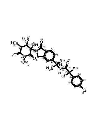 BC1C(=O)N(B)C(=O)C(B)(N2Cc3cc(C(B)(B)NC(=O)C(F)(F)c4ccc(Cl)cc4)ccc3C2=O)C1B